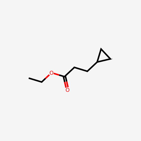 CCOC(=O)CCC1[CH]C1